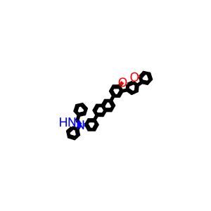 c1ccc(C2Nc3ccccc3N2c2cccc(-c3ccc4cc(-c5ccc6oc7c(ccc8c9ccccc9oc87)c6c5)ccc4c3)c2)cc1